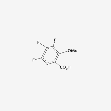 COc1c(C(=O)O)cc(F)c(F)c1F